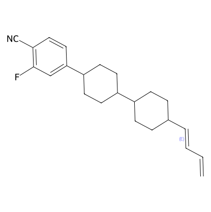 C=C/C=C/C1CCC(C2CCC(c3ccc(C#N)c(F)c3)CC2)CC1